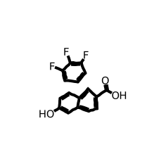 Fc1cccc(F)c1F.O=C(O)c1ccc2cc(O)ccc2c1